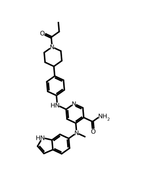 CCC(=O)N1CCC(c2ccc(Nc3cc(N(C)c4ccc5cc[nH]c5c4)c(C(N)=O)cn3)cc2)CC1